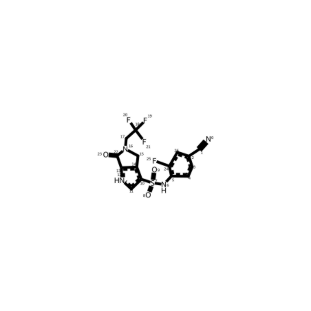 N#Cc1ccc(NS(=O)(=O)c2c[nH]c3c2CN(CC(F)(F)F)C3=O)c(F)c1